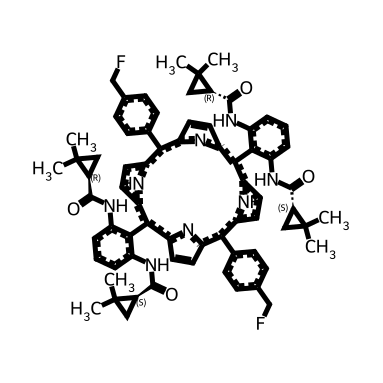 CC1(C)C[C@@H]1C(=O)Nc1cccc(NC(=O)[C@@H]2CC2(C)C)c1-c1c2nc(c(-c3ccc(CF)cc3)c3ccc([nH]3)c(-c3c(NC(=O)[C@H]4CC4(C)C)cccc3NC(=O)[C@@H]3CC3(C)C)c3nc(c(-c4ccc(CF)cc4)c4ccc1[nH]4)C=C3)C=C2